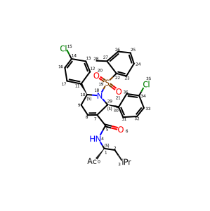 CC(=O)[C@H](CC(C)C)NC(=O)C1=CC[C@@H](c2ccc(Cl)cc2)N(S(=O)(=O)c2ccccc2C)[C@H]1c1cccc(Cl)c1